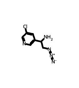 [N-]=[N+]=NCC(N)c1cncc(Cl)c1